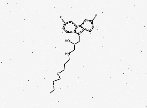 CCCCOCCCNCC(O)Cn1c2ccc(F)cc2c2cc(F)ccc21